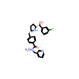 CN(Cc1cccnc1)C(=O)c1ccc(C[C@@H]2CC[C@H](C(O)c3cccc(Cl)c3)N2)cc1